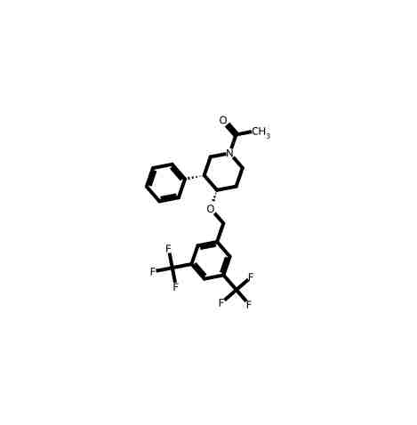 CC(=O)N1CC[C@H](OCc2cc(C(F)(F)F)cc(C(F)(F)F)c2)[C@H](c2ccccc2)C1